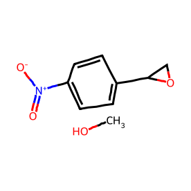 CO.O=[N+]([O-])c1ccc(C2CO2)cc1